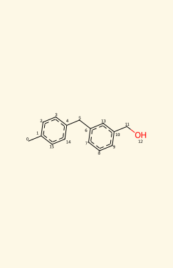 Cc1ccc(Cc2cccc(CO)c2)cc1